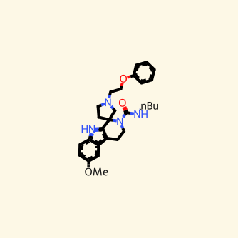 CCCCNC(=O)N1CCc2c([nH]c3ccc(OC)cc23)C12CCN(CCOc1ccccc1)C2